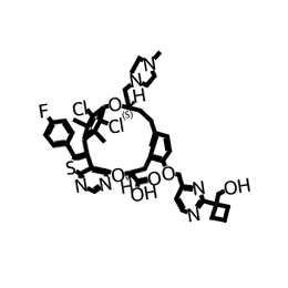 Cc1c(Cl)c2c(Cl)c(C)c1-c1c(-c3ccc(F)cc3)sc3ncnc(c13)O[C@@H](C(=O)O)Cc1cc(ccc1OCc1ccnc(C3(CO)CCC3)n1)CC[C@@H](CN1CCN(C)CC1)O2